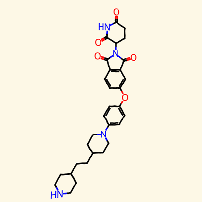 O=C1CCC(N2C(=O)c3ccc(Oc4ccc(N5CCC(CCC6CCNCC6)CC5)cc4)cc3C2=O)C(=O)N1